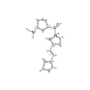 CN(C)c1cccc(C(=O)n2ccc(/C=C/c3ccco3)n2)c1